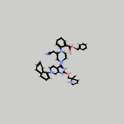 CC1(COc2nc3c(c(N4CCN(c5ccccc5C(=O)OCc5ccccc5)C(CC#N)C4)n2)CCN(c2cccc4ccccc24)C3)CCCN1